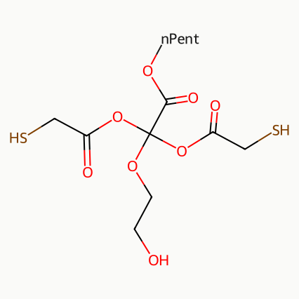 CCCCCOC(=O)C(OCCO)(OC(=O)CS)OC(=O)CS